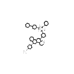 N#Cc1ccc(-c2cc3c4cccnc4c(-c4cccc(-c5nc(-c6ccccc6)nc(-c6ccc(-c7ccccc7)cc6)n5)c4)cc3c3ccccc23)cc1